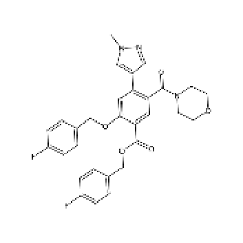 Cn1cc(-c2cc(OCc3ccc(F)cc3)c(C(=O)OCc3ccc(F)cc3)cc2C(=O)N2CCOCC2)cn1